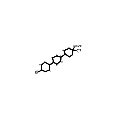 CCCCCCC1(C#N)CCC(C2CCC(C3CCC(CC)CC3)CC2)CC1